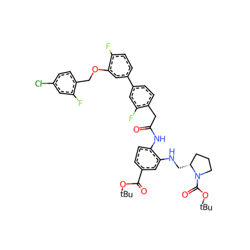 CC(C)(C)OC(=O)c1ccc(NC(=O)Cc2ccc(-c3ccc(F)c(OCc4ccc(Cl)cc4F)c3)cc2F)c(NC[C@@H]2CCCN2C(=O)OC(C)(C)C)c1